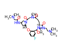 CN(C)CCNC(=O)[C@@H]1CCC(=O)N(C)CC(=O)N2C[C@@H](NC(=O)CN(C)C)C[C@H]2COc2ccc(F)cc2C(=O)N1C